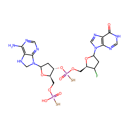 Nc1ncnc2c1NCN2C1C[C@H](OP(=O)(S)OC[C@H]2OC(n3cnc4c(=O)[nH]cnc43)CC2F)[C@@H](COP(=O)(O)S)O1